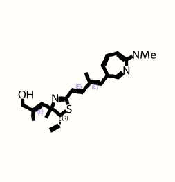 C=C[C@H]1SC(/C=C/C(C)=C/C2C=CC=C(NC)N=C2)=NC1(C)/C=C(\C)CO